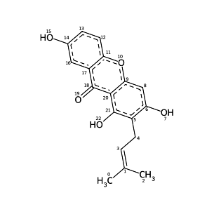 CC(C)=CCc1c(O)cc2oc3ccc(O)cc3c(=O)c2c1O